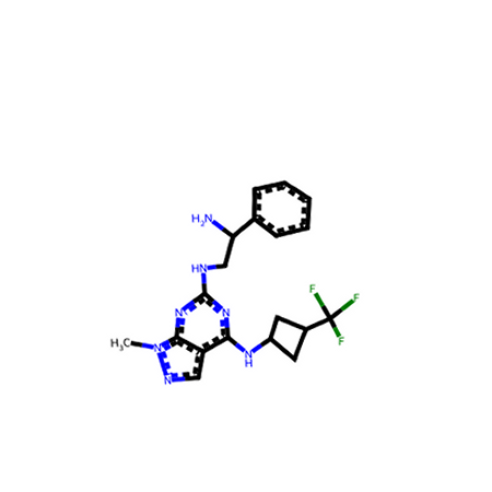 Cn1ncc2c(NC3CC(C(F)(F)F)C3)nc(NCC(N)c3ccccc3)nc21